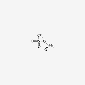 O=[SH](=O)OS(=O)(=O)C(F)(F)F